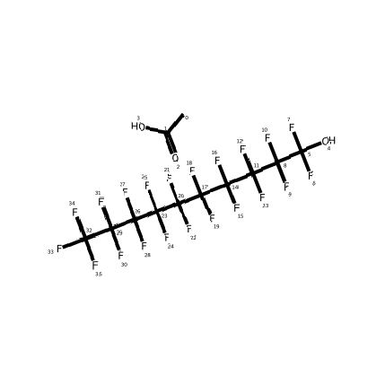 CC(=O)O.OC(F)(F)C(F)(F)C(F)(F)C(F)(F)C(F)(F)C(F)(F)C(F)(F)C(F)(F)C(F)(F)C(F)(F)F